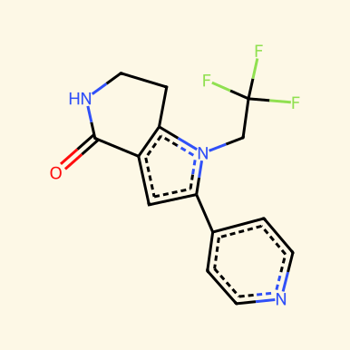 O=C1NCCc2c1cc(-c1ccncc1)n2CC(F)(F)F